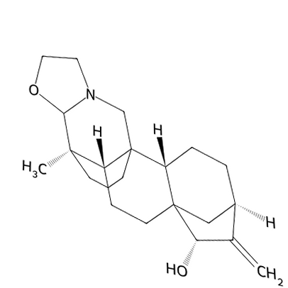 C=C1[C@@H]2CC[C@@H]3C(CC[C@H]4C35CCC[C@@]4(C)C3OCCN3C5)(C2)[C@H]1O